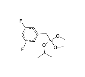 CO[Si](Cc1cc(F)cc(F)c1)(OC)OC(C)C